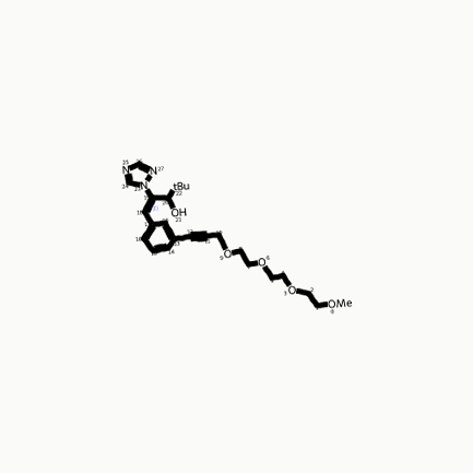 COCCOCCOCCOCC#Cc1cccc(/C=C(\C(O)C(C)(C)C)n2cncn2)c1